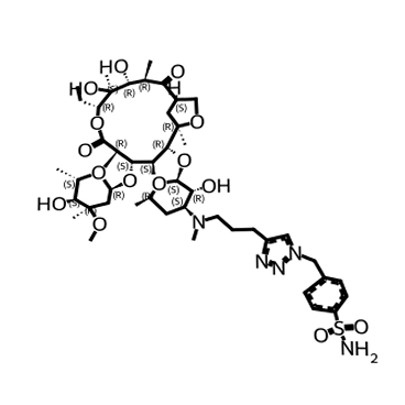 CC[C@H]1OC(=O)[C@H](C)[C@@H](O[C@H]2C[C@@](C)(OC)[C@@H](O)[C@H](C)O2)[C@H](C)[C@@H](O[C@@H]2O[C@H](C)C[C@H](N(C)CCCc3cn(Cc4ccc(S(N)(=O)=O)cc4)nn3)[C@H]2O)[C@@]2(C)C[C@@H](CO2)C(=O)[C@H](C)[C@@H](O)[C@]1(C)O